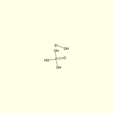 CCO.O=P(O)(O)O